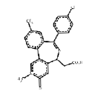 Cn1cc2c(cc1=O)C(CC(=O)O)N=C(c1ccc(Cl)cc1)c1cc(C(F)(F)F)ccc1-2